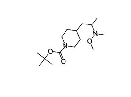 CON(C)C(C)CC1CCN(C(=O)OC(C)(C)C)CC1